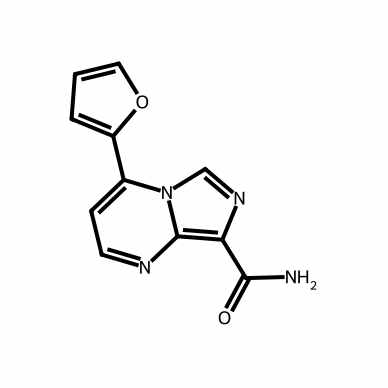 NC(=O)c1ncn2c(-c3ccco3)ccnc12